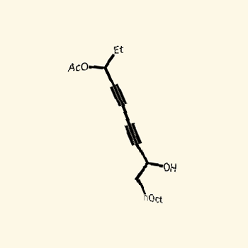 CCCCCCCCCC(O)C#CC#CC(CC)OC(C)=O